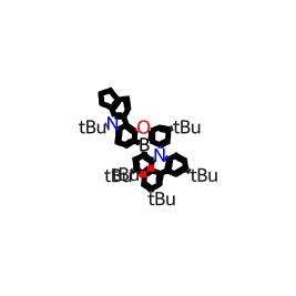 CC(C)(C)c1cc(-c2cc(C(C)(C)C)ccc2N2c3ccc(C(C)(C)C)cc3B3c4ccc5c(c4Oc4cc(C(C)(C)C)cc2c43)c2ccc3c(c2n5C(C)(C)C)CCC3)cc(C(C)(C)C)c1